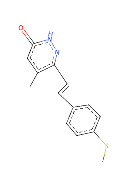 CSc1ccc(C=Cc2n[nH]c(=O)cc2C)cc1